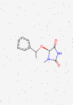 CC(O[C@H]1C(=O)NC(=O)N1C)c1ccccc1